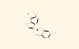 COc1c(Cl)ccc2c(S(=O)(=O)Nc3cc(F)c(Cl)cc3F)c[nH]c12